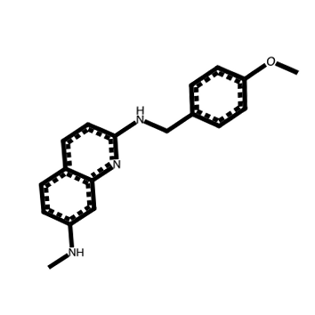 CNc1ccc2ccc(NCc3ccc(OC)cc3)nc2c1